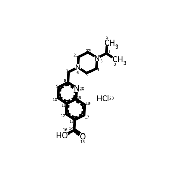 CC(C)N1CCN(Cc2ccc3cc(C(=O)O)ccc3n2)CC1.Cl